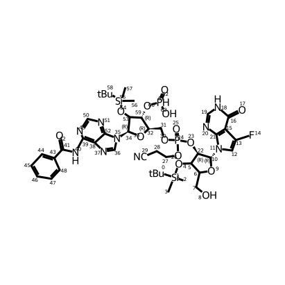 CC(C)(C)[Si](C)(C)OC1C(CO)O[C@@H](n2cc(F)c3c(=O)[nH]cnc32)[C@@H]1OP(=O)(OCCC#N)OC[C@H]1O[C@@H](n2cnc3c(NC(=O)c4ccccc4)ncnc32)C(O[Si](C)(C)C(C)(C)C)[C@@H]1O[PH](=O)O